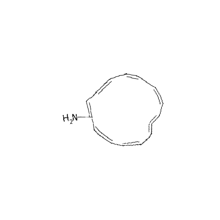 Nc1ccccccccccccc1